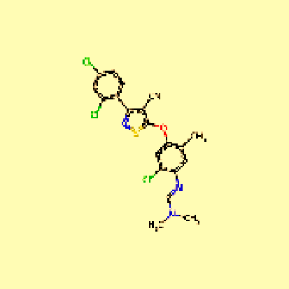 Cc1cc(N=CN(C)C)c(Cl)cc1Oc1snc(-c2ccc(Cl)cc2Cl)c1C#N